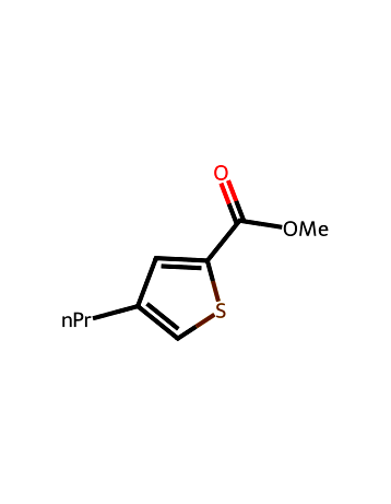 CCCc1csc(C(=O)OC)c1